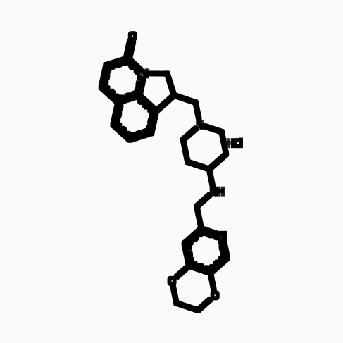 Cl.O=c1ccc2cccc3c2n1CC3CN1CCC(NCc2cc3c(cn2)OCCO3)CC1